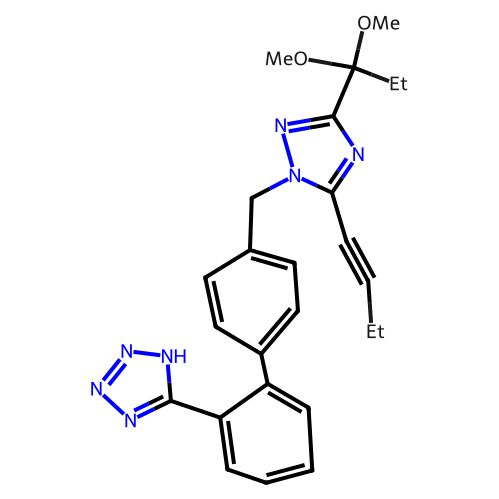 CCC#Cc1nc(C(CC)(OC)OC)nn1Cc1ccc(-c2ccccc2-c2nnn[nH]2)cc1